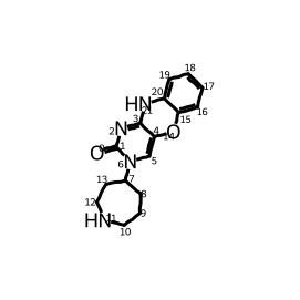 O=c1nc2c(cn1C1CCCNCC1)Oc1ccccc1N2